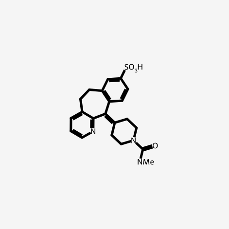 CNC(=O)N1CCC(=C2c3ccc(S(=O)(=O)O)cc3CCc3cccnc32)CC1